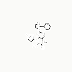 CCC1C(=O)N(C)c2cnc(-n3ccnc3-c3ccccc3)nc2N1c1ccn(C)n1